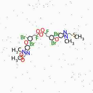 CCn1c(CCSC)nc2ccc(Oc3c(Br)cc(CC(F)C(=O)OC(=O)C(F)Cc4cc(Br)c(Oc5ccc6nc(CS(C)(=O)=O)n(CC)c6c5)c(Br)c4)cc3Br)cc21